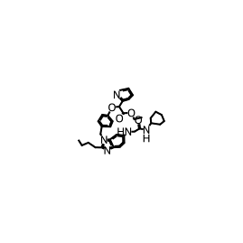 CCCCc1nc2ccc(NCC(=O)NC3CCCCC3)cc2n1Cc1ccc(OC(C(=O)OCC)c2ccccn2)cc1